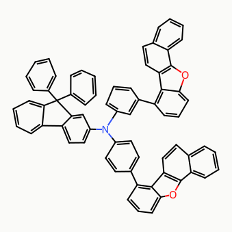 c1ccc(C2(c3ccccc3)c3ccccc3-c3ccc(N(c4ccc(-c5cccc6oc7c8ccccc8ccc7c56)cc4)c4cccc(-c5cccc6oc7c8ccccc8ccc7c56)c4)cc32)cc1